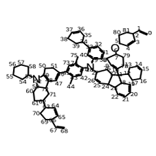 C=CC1C=CC(OC2CC=C(C3(C4CC=CCC4)C4C=CC=CC4C4C=CC(N(c5cccc(C6CC=CCC6)c5)c5cc(C)c(C6=CC7=C(CC6)N(C6CCCCC6)C6CCC(C8C=CC(C=C)CC8)CC76)cc5C)CC43)CC2)CC1